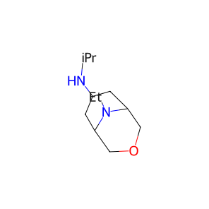 CCN1C2COCC1CC(NC(C)C)C2